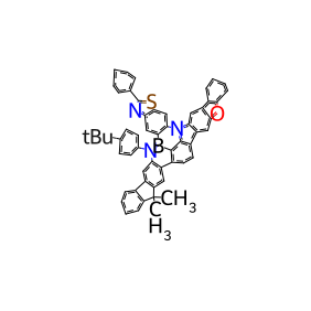 CC(C)(C)c1ccc(N2B3c4cc5nc(-c6ccccc6)sc5cc4-n4c5cc6c(cc5c5ccc(c3c54)-c3cc4c(cc32)-c2ccccc2C4(C)C)oc2ccccc26)cc1